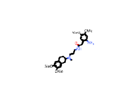 COc1cc(N)c(CC(=O)NCCCN(C)C2CCc3cc(OC)c(OC)cc3C2)cc1OC